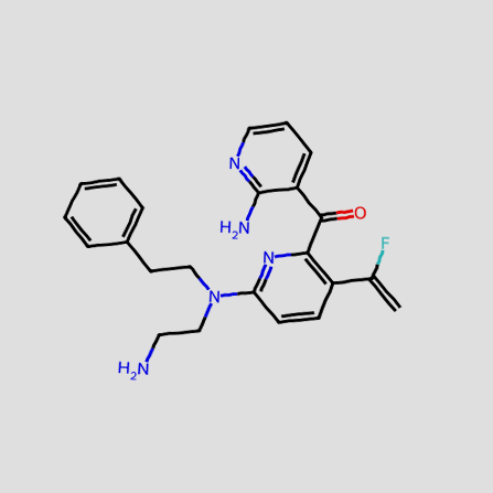 C=C(F)c1ccc(N(CCN)CCc2ccccc2)nc1C(=O)c1cccnc1N